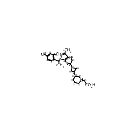 Cc1nn([C@H](C)c2ccc(Cl)cc2Cl)c2nc(N3CC([C@@H]4CCCN(CC(=O)O)C4)C3)cnc12